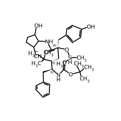 CC1CCC(O)C1NC(=O)[C@](Cc1ccc(O)cc1)(C[C@H]([C@H](Cc1ccccc1)NC(=O)OC(C)(C)C)C(C)(C)C)O[SiH](C)C